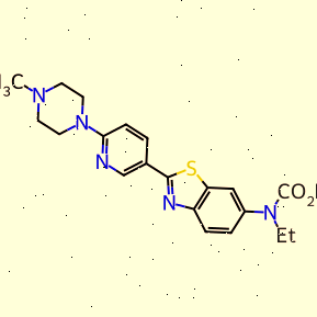 CCN(C(=O)O)c1ccc2nc(-c3ccc(N4CCN(C)CC4)nc3)sc2c1